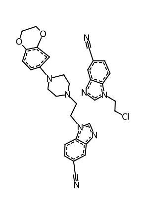 N#Cc1ccc2c(c1)ncn2CCCl.N#Cc1ccc2c(c1)ncn2CCN1CCN(c2ccc3c(c2)OCCO3)CC1